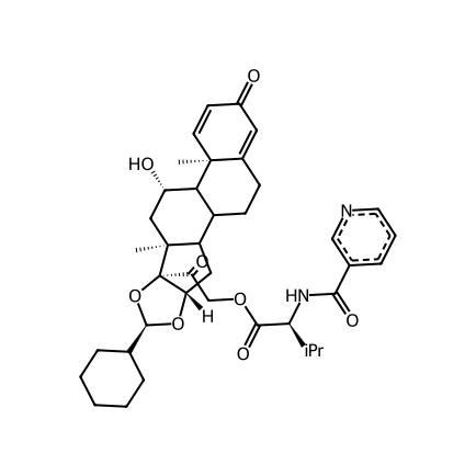 CC(C)[C@H](NC(=O)c1cccnc1)C(=O)OCC(=O)[C@@]12O[C@H](C3CCCCC3)O[C@H]1CC1C3CCC4=CC(=O)C=C[C@]4(C)C3[C@@H](O)C[C@@]12C